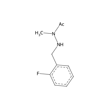 CC(=O)N(C)NCc1ccccc1F